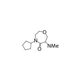 CNC1COCCN(C2CCCC2)C1=O